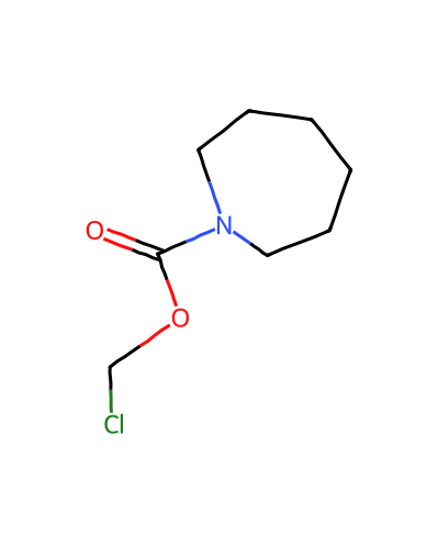 O=C(OCCl)N1CCCCCC1